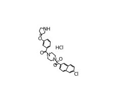 Cl.O=C(c1cccc(O[C@H]2CCNC2)c1)N1CCN(S(=O)(=O)c2ccc3cc(Cl)ccc3c2)CC1